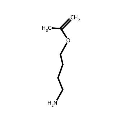 C=C(C)OCCCCN